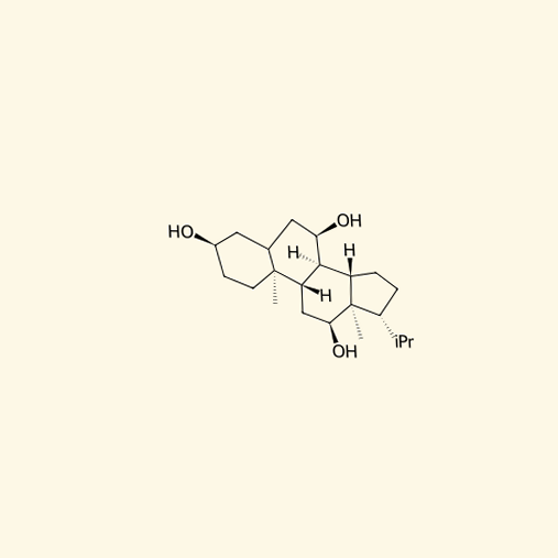 CC(C)[C@H]1CC[C@H]2[C@@H]3[C@H](O)CC4C[C@H](O)CC[C@]4(C)[C@H]3C[C@H](O)[C@]12C